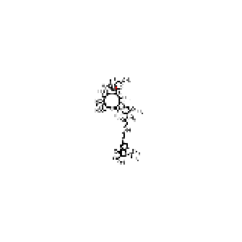 CC[C@H]1OC(=O)[C@H](C)[C@@H](O[C@H]2C[C@@](C)(OC)[C@@H](OC(=O)CCNCCSc3cnc4c(c3)c(=O)c(C(=O)O)cn4N(C)C)[C@H](C)O2)[C@H](C)[C@@H](O[C@@H]2O[C@H](C)C[C@H](N(C)C)[C@H]2O)[C@](C)(OC)C[C@@H](C)C(=O)[C@@H](O)[C@]1(C)O